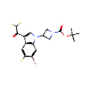 CC(C)(C)OC(=O)N1CC(n2cc(C(=O)C(F)F)c3cc(F)c(Br)cc32)C1